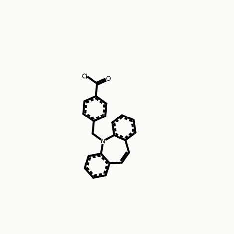 O=C(Cl)c1ccc(CN2c3ccccc3C=Cc3ccccc32)cc1